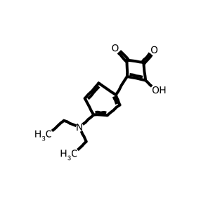 CCN(CC)c1ccc(-c2c(O)c(=O)c2=O)cc1